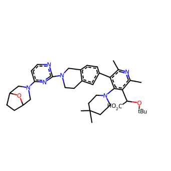 Cc1nc(C)c(C(OC(C)(C)C)C(=O)O)c(N2CCC(C)(C)CC2)c1-c1ccc2c(c1)CCN(c1nccc(N3CC4CCC(C3)O4)n1)C2